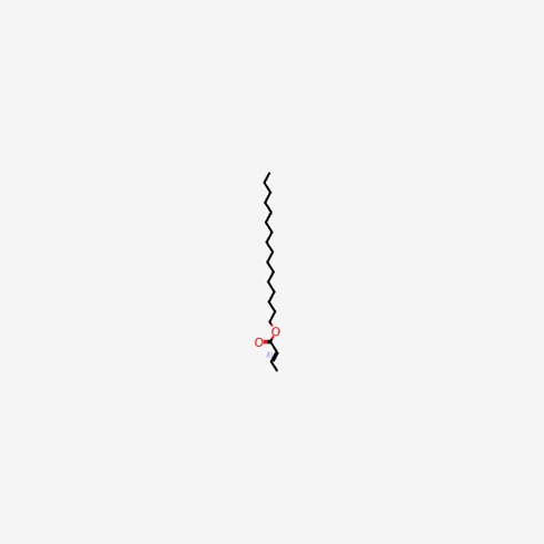 C/C=C/C(=O)OCCCCCCCCCCCCCCCC